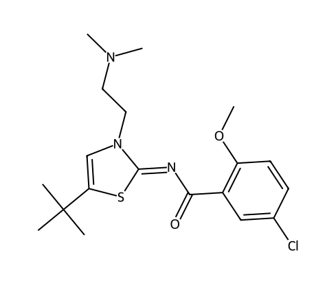 COc1ccc(Cl)cc1C(=O)N=c1sc(C(C)(C)C)cn1CCN(C)C